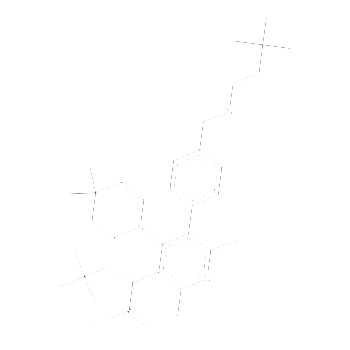 Cc1nc(C)c(C(OC(C)(C)C)C(=O)O)c(N2CCC(C)(C)CC2)c1-c1ccc(CNCCC(C)(C)C)cc1